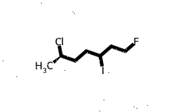 C[C@@H](Cl)CCC(I)CCF